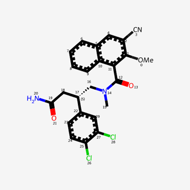 COc1c(C#N)cc2ccccc2c1C(=O)N(C)C[C@@H](CC(N)=O)c1ccc(Cl)c(Cl)c1